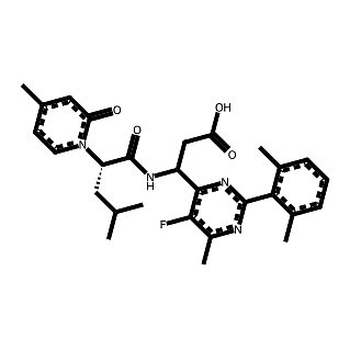 Cc1ccn([C@@H](CC(C)C)C(=O)NC(CC(=O)O)c2nc(-c3c(C)cccc3C)nc(C)c2F)c(=O)c1